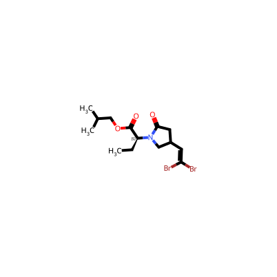 CC[C@@H](C(=O)OCC(C)C)N1CC(C=C(Br)Br)CC1=O